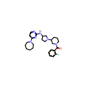 O=C(c1ccccc1F)N1CCCC(N2CCC(Nc3nccc(N4CCCCCC4)n3)C2)C1